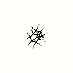 CC12C(F)(F)C3(C)C(F)(F)C(C)(C1(F)F)C(F)(F)C(F)(C2(F)F)C3(F)F